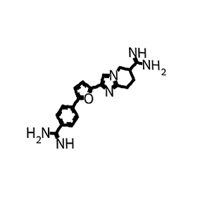 N=C(N)c1ccc(-c2ccc(-c3cn4c(n3)CCC(C(=N)N)C4)o2)cc1